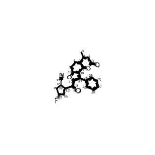 Cc1cc(=O)oc2c1ccc1oc(C(=O)C3C[C@@H](F)C[C@H]3C#N)c(-c3ccccc3)c12